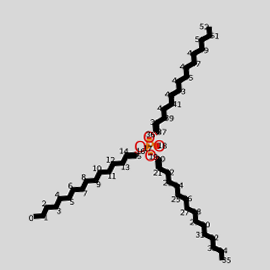 CCCCCCCCCCCCCC/C=C/OP(=O)(O/C=C/CCCCCCCCCCCCCC)O/C=C/CCCCCCCCCCCCCC